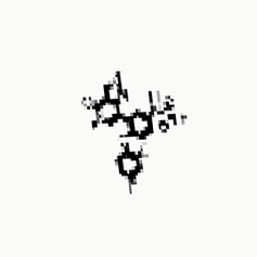 CCS(=O)(=O)Nc1ccc(Oc2ccc(F)cc2Cl)c(-c2cn(C)c(=O)c3cn(C)nc23)c1